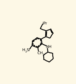 Cc1c([SiH3])ccc(C2=C(CC(C)C)C=CC2)c1NC1CCCCC1